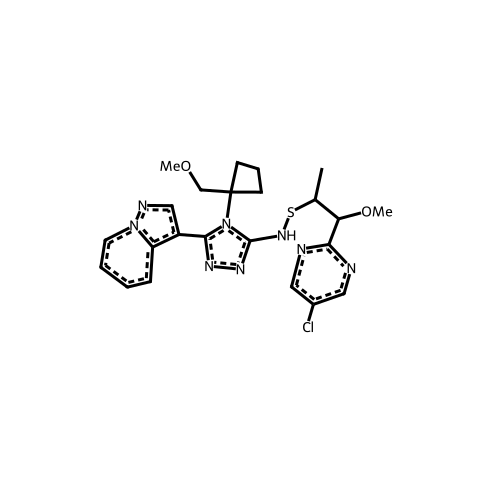 COCC1(n2c(NSC(C)C(OC)c3ncc(Cl)cn3)nnc2-c2cnn3ccccc23)CCC1